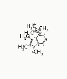 CC1=C(C)C(C)c2cccc([Si](C)(C)C)c21